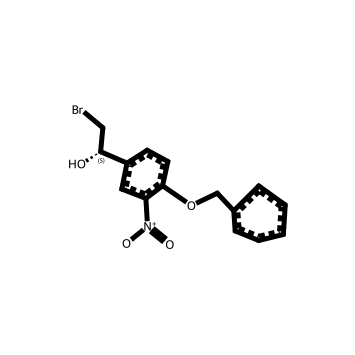 O=[N+]([O-])c1cc([C@H](O)CBr)ccc1OCc1ccccc1